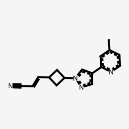 Cc1ccnc(-c2cnn(C3CC(/C=C/C#N)C3)c2)c1